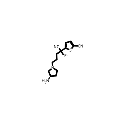 CC(C)C(C#N)(CCCN1CC[C@@H](N)C1)c1ccc(C#N)s1